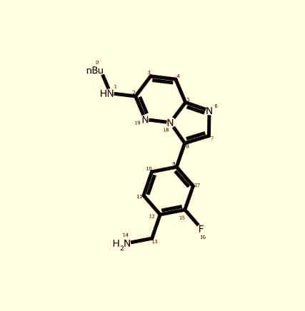 CCCCNc1ccc2ncc(-c3ccc(CN)c(F)c3)n2n1